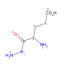 N[N]C(=O)C(N)CCC(=O)O